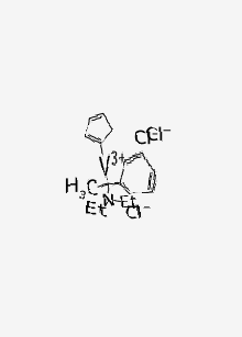 CCN(CC)[C](C)([V+3][C]1=CC=CC1)c1ccccc1.[Cl-].[Cl-].[Cl-]